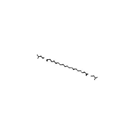 CC(C)CCOC(=O)CCCCCCCCCCCCCCCCCC(=O)OCCC(C)C